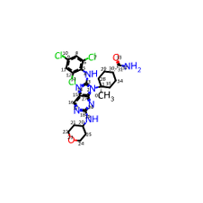 C[C@]1(n2c(Nc3c(Cl)cc(Cl)cc3Cl)nc3cnc(NC4CCOCC4)nc32)CC[C@H](C(N)=O)CC1